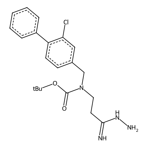 CC(C)(C)OC(=O)N(CCC(=N)NN)Cc1ccc(-c2ccccc2)c(Cl)c1